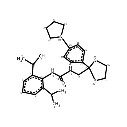 CC(C)c1cccc(C(C)C)c1NC(=O)NCC1(c2ccc(N3CCCC3)cc2)SCCS1